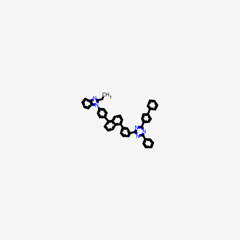 CCc1nc2ccccc2n1-c1ccc(-c2cccc3c(-c4cccc(-c5nc(-c6ccccc6)nc(-c6ccc(-c7ccccc7)cc6)n5)c4)cccc23)cc1